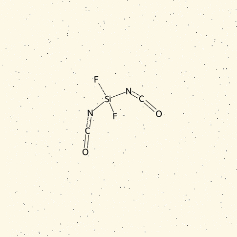 O=C=N[Si](F)(F)N=C=O